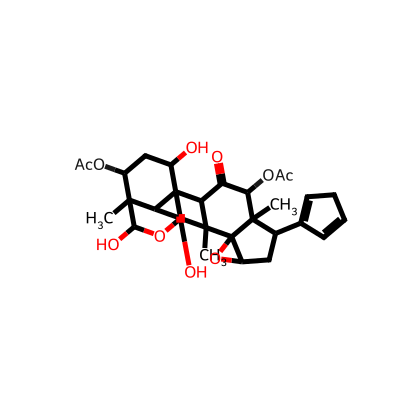 CC(=O)OC1CC(O)C23COC(O)C1(C)C2CC(O)C1(C)C3C(=O)C(OC(C)=O)C2(C)C(C3=CCC=C3)CC3OC321